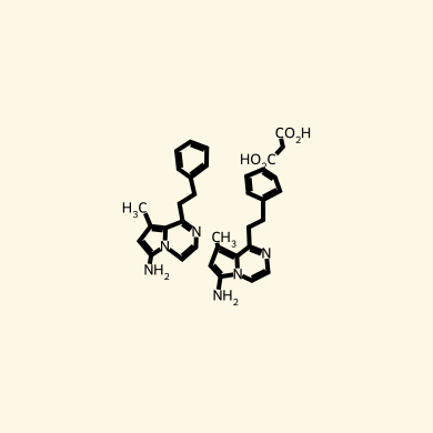 Cc1cc(N)n2ccnc(CCc3ccccc3)c12.Cc1cc(N)n2ccnc(CCc3ccccc3)c12.O=C(O)CC(=O)O